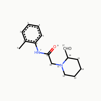 Cc1ccccc1NC(=O)CN1CCCCC1C=O